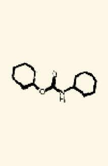 O=C(NC1CCCCC1)OC1[CH]CCCC1